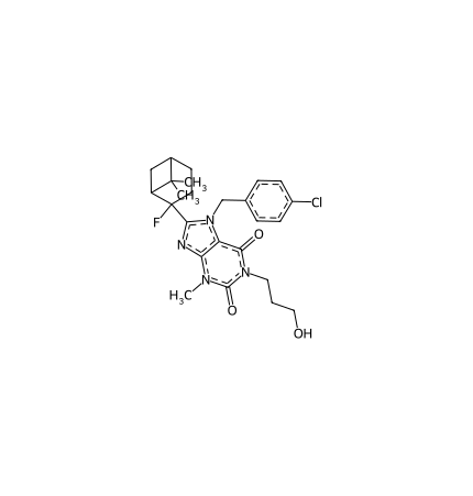 Cn1c(=O)n(CCCO)c(=O)c2c1nc(C1(F)CCC3CC1C3(C)C)n2Cc1ccc(Cl)cc1